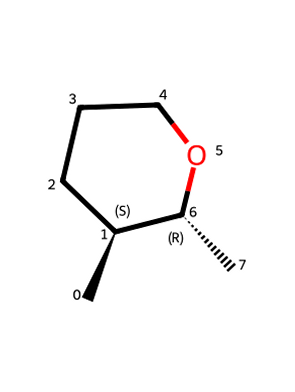 C[C@H]1CCCO[C@@H]1C